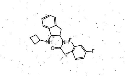 C[C@H](C(=O)NC1Cc2ccccc2[C@@H]1NC1CCC1)c1ccc(F)cc1F